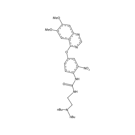 CCCCN(CCCC)CCNC(=O)Nc1ccc(Oc2ncnc3cc(OC)c(OC)cc23)cc1[N+](=O)[O-]